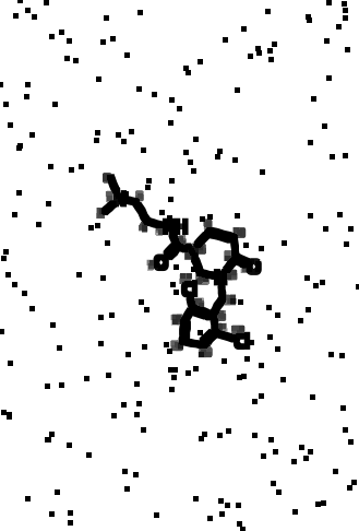 CN(C)CCNC(=O)N1C=CC(=O)N(Cc2c(Cl)cccc2Cl)C1